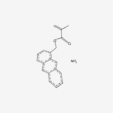 C=C(C)C(=O)OCc1cccc2cc3ccccc3cc12.N